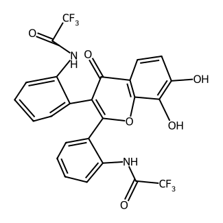 O=C(Nc1ccccc1-c1oc2c(O)c(O)ccc2c(=O)c1-c1ccccc1NC(=O)C(F)(F)F)C(F)(F)F